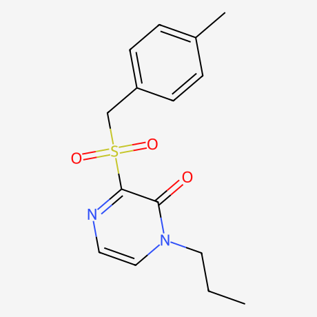 CCCn1ccnc(S(=O)(=O)Cc2ccc(C)cc2)c1=O